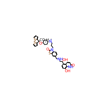 CN(CCCn1c(=O)sc2cc(CNC[C@H](O)c3ccc(O)c4[nH]c(=O)ccc34)ccc21)[C@H]1CC[C@H](OC(C(=O)O)(c2cccs2)c2cccs2)CC1